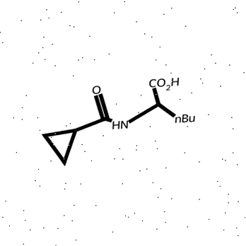 CCCCC(NC(=O)C1CC1)C(=O)O